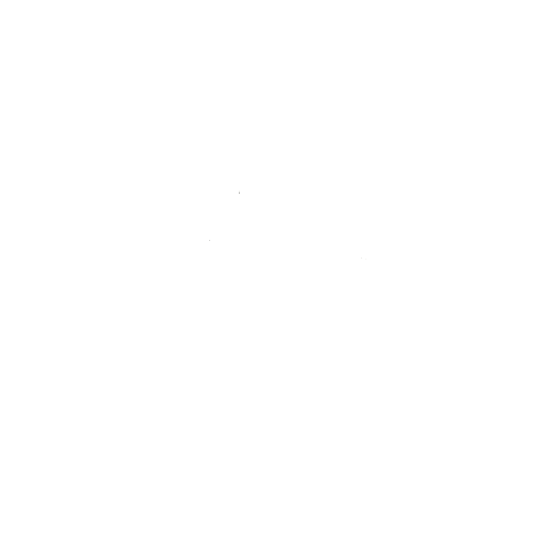 Brc1ccccc1-c1ccc(C23CC4CC(CC(C4)C2)C3)cc1